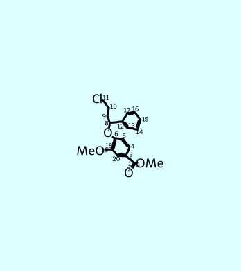 COC(=O)c1ccc(OC(CCCl)c2ccccc2)c(OC)c1